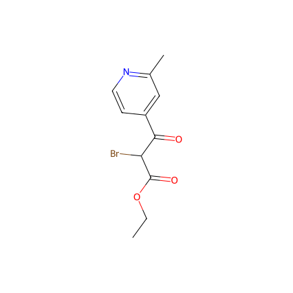 CCOC(=O)C(Br)C(=O)c1ccnc(C)c1